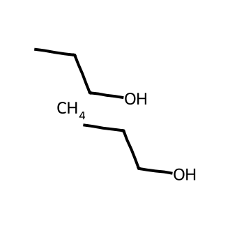 C.CCCO.CCCO